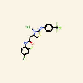 CN1/C(=N/c2ccc(C(F)(F)F)cc2)SCC1CC(=O)Nc1ccc(Cl)cc1F.Cl